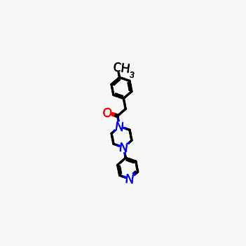 Cc1ccc(CC(=O)N2CCN(c3ccncc3)CC2)cc1